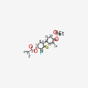 C=C(C)C(=O)Oc1ccc2c(sc3c(C)c(OC(=O)CC)ccc32)c1F